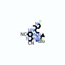 Cc1nc(F)ccc1[C@H](Nc1cc(C#N)c2ncc(C#N)c(NCC(C)(C)C)c2c1)C1=CN(C2(CF)CC2)NN1